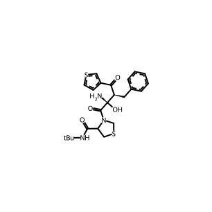 CC(C)(C)NC(=O)C1CSCN1C(=O)[C@@](N)(O)[C@H](Cc1ccccc1)C(=O)c1ccsc1